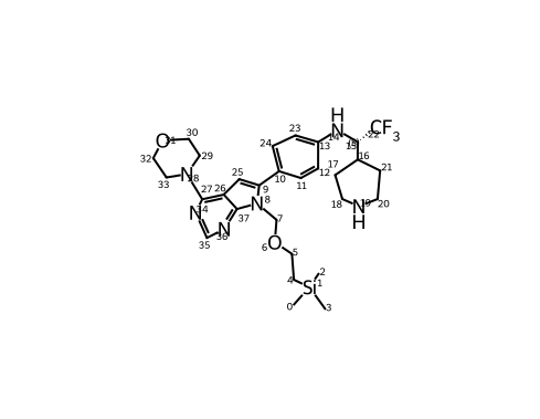 C[Si](C)(C)CCOCn1c(-c2ccc(N[C@@H](C3CCNCC3)C(F)(F)F)cc2)cc2c(N3CCOCC3)ncnc21